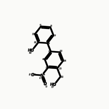 O=[N+]([O-])c1cc(-c2ccccc2O)ccc1CO